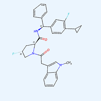 Cn1cc(CC(=O)N2C[C@H](F)C[C@H]2C(=O)N[C@@H](c2ccccc2)c2ccc(C3CC3)c(F)c2)c2ccccc21